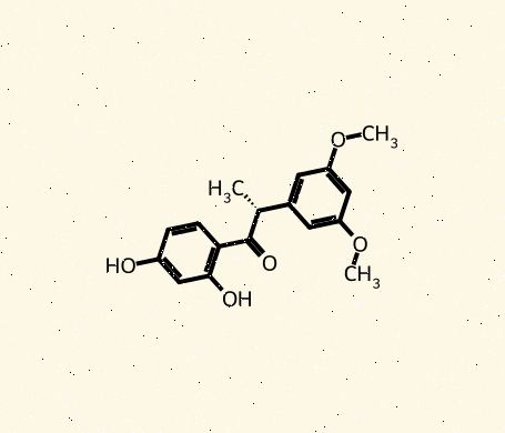 COc1cc(OC)cc([C@@H](C)C(=O)c2ccc(O)cc2O)c1